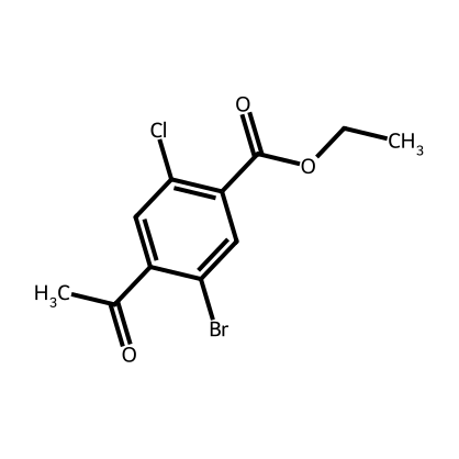 CCOC(=O)c1cc(Br)c(C(C)=O)cc1Cl